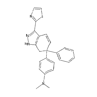 CN(C)c1ccc(C2(c3ccccc3)C=Cc3c(-c4nccs4)n[nH]c3C2)cc1